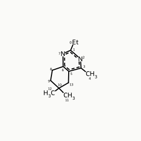 CCc1nc(C)c2c(n1)CCC(C)(C)C2